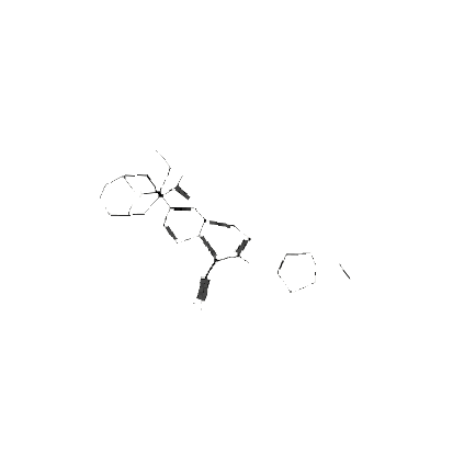 CCC(c1ccc2c(C#N)c(O[C@H]3CC[C@@H](CC)CC3)ccc2c1)N1C2CCCC1CC(C(=O)O)C2